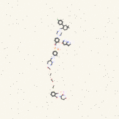 CC1(C)CCC(CN2CCN(c3ccc(C(=O)NS(=O)(=O)c4ccc(NCC5CCN(C(=O)COCCOCCOCCSc6cccc7c6C(=O)N(C6CCC(=O)NC6=O)C7=O)CC5)c([N+](=O)[O-])c4)c(Oc4cnc5[nH]ccc5c4)c3)CC2)=C(c2ccc(Cl)cc2)C1